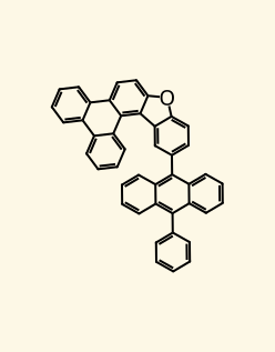 c1ccc(-c2c3ccccc3c(-c3ccc4oc5ccc6c7ccccc7c7ccccc7c6c5c4c3)c3ccccc23)cc1